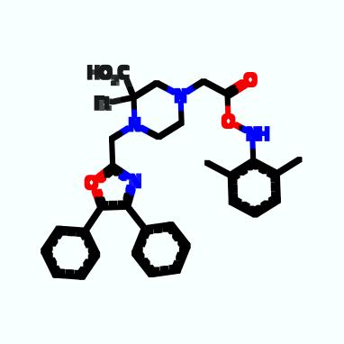 CCC1(C(=O)O)CN(CC(=O)ONc2c(C)cccc2C)CCN1Cc1nc(-c2ccccc2)c(-c2ccccc2)o1